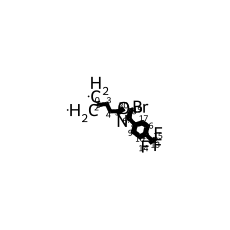 [CH2]C([CH2])CCc1nc(-c2ccc(C(F)(F)F)cc2)c(Br)o1